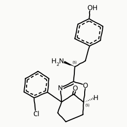 N[C@@H](Cc1ccc(O)cc1)C1=NC2(c3ccccc3Cl)CCC[C@H](O1)C2=O